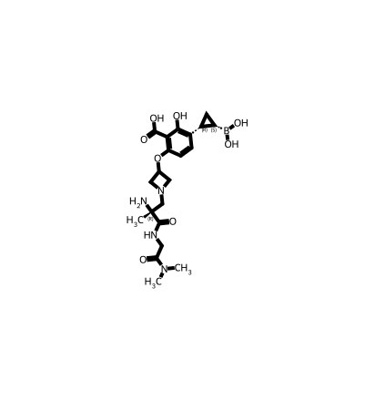 CN(C)C(=O)CNC(=O)[C@](C)(N)CN1CC(Oc2ccc([C@@H]3C[C@@H]3B(O)O)c(O)c2C(=O)O)C1